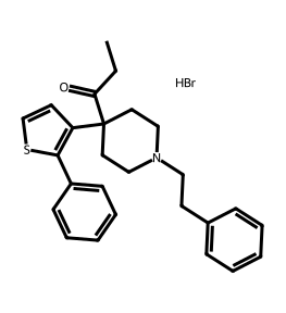 Br.CCC(=O)C1(c2ccsc2-c2ccccc2)CCN(CCc2ccccc2)CC1